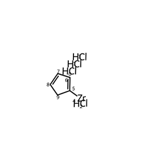 Cl.Cl.Cl.Cl.[Zr][C]1=CC=CC1